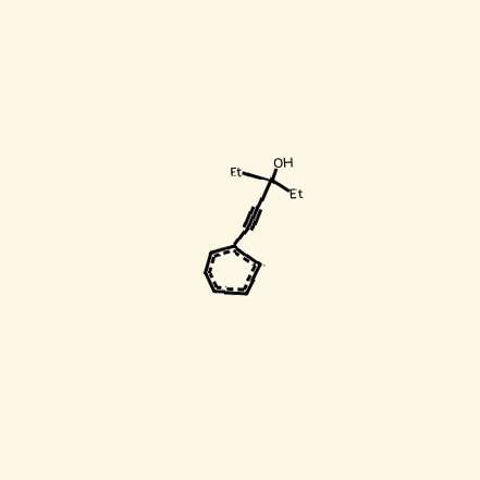 CCC(O)(C#Cc1[c]cccc1)CC